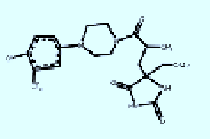 COCC1(CC(C)C(=O)N2CCN(c3ccc(Cl)c(C(F)(F)F)c3)CC2)NC(=O)NC1=O